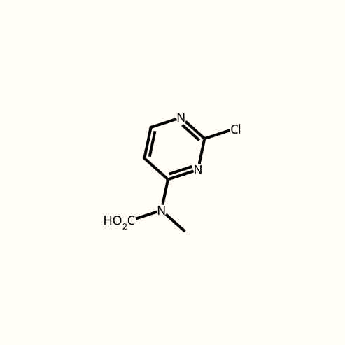 CN(C(=O)O)c1ccnc(Cl)n1